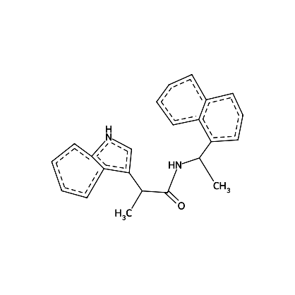 CC(NC(=O)C(C)c1c[nH]c2ccccc12)c1cccc2ccccc12